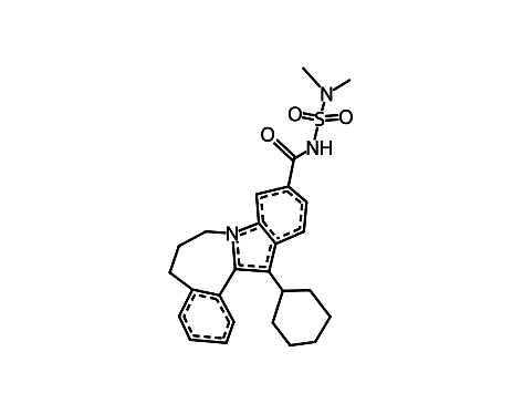 CN(C)S(=O)(=O)NC(=O)c1ccc2c(C3CCCCC3)c3n(c2c1)CCCc1ccccc1-3